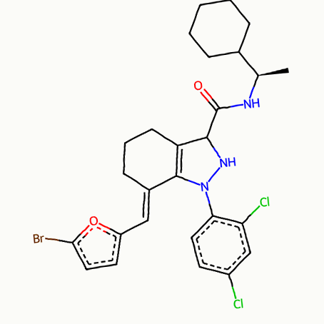 C[C@@H](NC(=O)C1NN(c2ccc(Cl)cc2Cl)C2=C1CCC/C2=C\c1ccc(Br)o1)C1CCCCC1